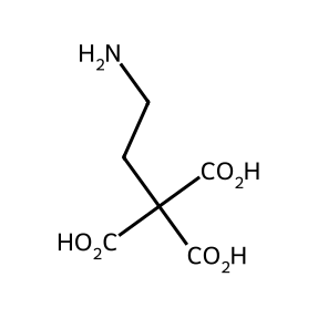 NCCC(C(=O)O)(C(=O)O)C(=O)O